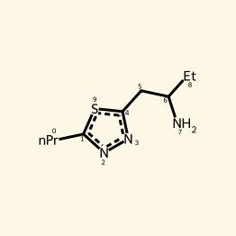 CCCc1nnc(CC(N)CC)s1